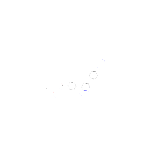 CC(C)N1CCN(c2ccc(-c3cc(-c4ccc5c(c4)CC(CN(C)C(=O)OC(C)(C)C)NC5=O)c(N)nc3F)cc2)CC1